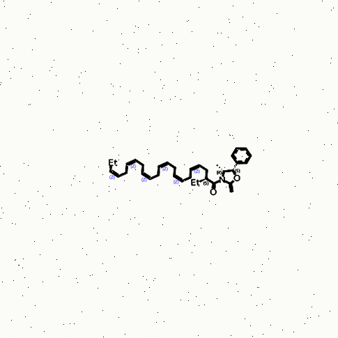 C=C1O[C@@H](c2ccccc2)[C@@H](C)N1C(=O)[C@@H](CC)C/C=C\C/C=C\C/C=C\C/C=C\C/C=C\C/C=C\CC